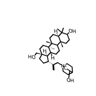 C=C(C[N+]12CCC(CC1)C(O)C2)[C@@H]1CC[C@]2(CO)CC[C@]3(C)[C@H](CCC4[C@@]5(C)CCC(O)C(C)(C)[C@@H]5CC[C@]43C)[C@@H]12